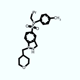 Cc1ccc(N(CC(C)C)S(=O)(=O)c2ccc3c(c2)CNN3CC2CCOCC2)cc1